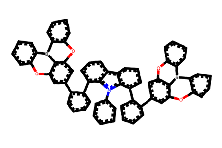 c1ccc(-n2c3c(-c4ccccc4-c4cc5c6c(c4)Oc4ccccc4B6c4ccccc4O5)cccc3c3cccc(-c4ccccc4-c4cc5c6c(c4)Oc4ccccc4B6c4ccccc4O5)c32)cc1